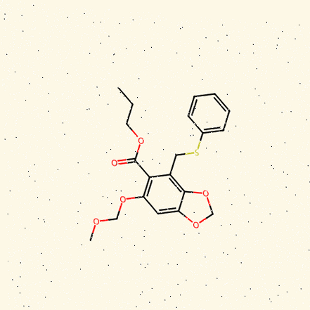 CCCOC(=O)c1c(OCOC)cc2c(c1CSc1ccccc1)OCO2